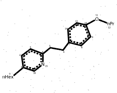 CCCCCCc1ccc(CCc2ccc(OCCC)cc2)nc1